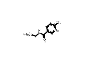 CCCCCCCCNC(=O)c1ccc(CC)nc1